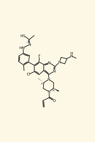 C=CC(=O)N1C[C@H](C)N(c2nc(N3CC(NC)C3)nc3c(F)c(-c4cc(N/N=C(/C)S)ccc4C)c(Cl)cc23)C[C@H]1C